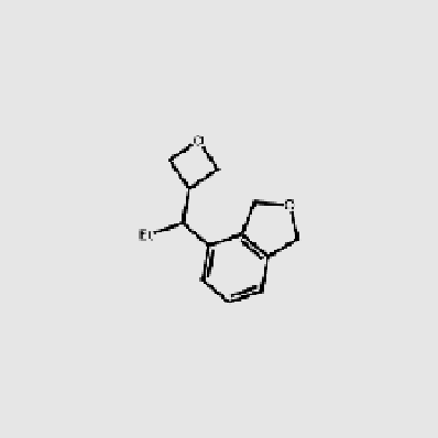 CCC(c1cccc2c1COC2)C1COC1